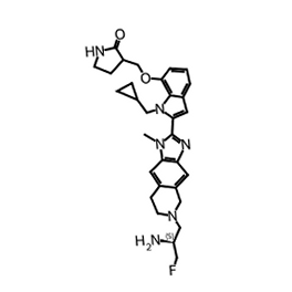 Cn1c(-c2cc3cccc(OCC4CCNC4=O)c3n2CC2CC2)nc2cc3c(cc21)CCN(C[C@H](N)CF)C3